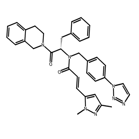 Cc1cc(C=CC(=O)N(Cc2ccc(-n3ccnn3)cc2)[C@@H](Cc2ccccc2)C(=O)N2CCc3ccccc3C2)n(C)n1